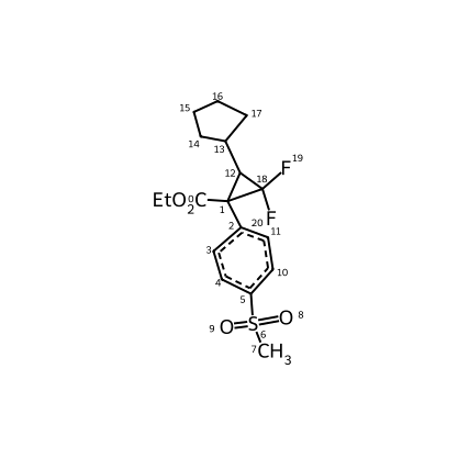 CCOC(=O)C1(c2ccc(S(C)(=O)=O)cc2)C(C2CCCC2)C1(F)F